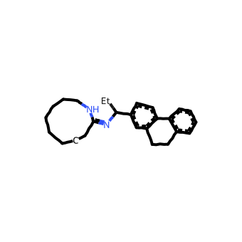 CCC(/N=C1/CCCCCCCCN1)c1ccc2c(c1)CCc1ccccc1-2